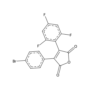 O=C1OC(=O)C(c2c(F)cc(F)cc2F)=C1c1ccc(Br)cc1